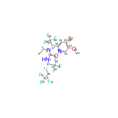 CCN(C(=O)N[C@@H](CCC(F)(F)F)C(F)(F)F)[C@@H](c1cc(Br)c(OC)cn1)C(F)(F)F